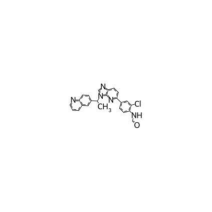 CC(c1ccc2ncccc2c1)n1cnc2ccc(-c3ccc(NC=O)c(Cl)c3)nc21